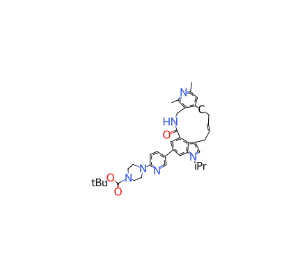 Cc1cc2c(c(C)n1)CNC(=O)c1cc(-c3ccc(N4CCN(C(=O)OC(C)(C)C)CC4)nc3)cc3c1c(cn3C(C)C)C/C=C/CC2